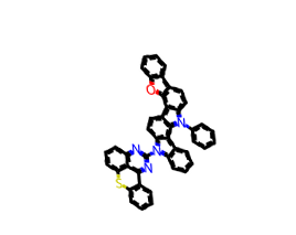 c1ccc(-n2c3ccc4c5ccccc5oc4c3c3ccc4c(c5ccccc5n4-c4nc5c6c(cccc6n4)Sc4ccccc4-5)c32)cc1